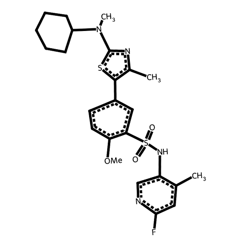 COc1ccc(-c2sc(N(C)C3CCCCC3)nc2C)cc1S(=O)(=O)Nc1cnc(F)cc1C